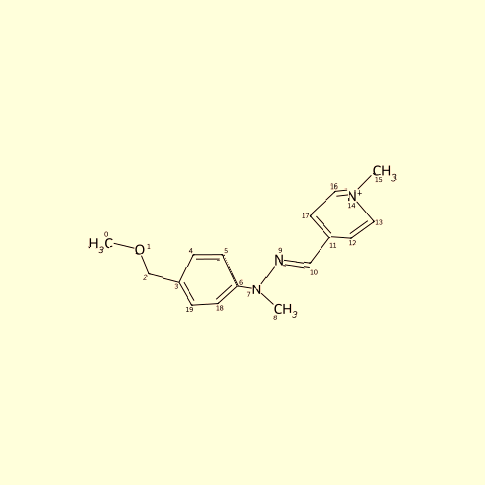 COCc1ccc(N(C)N=Cc2cc[n+](C)cc2)cc1